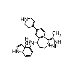 CC1=C2c3ccc(C4=CCNCC4)cc3C(NC3=CC=CC4NC=CC34C)CCN2NN1